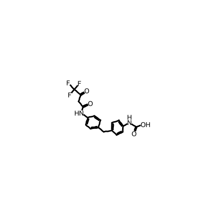 O=C(O)Nc1ccc(Cc2ccc(NC(=O)CC(=O)C(F)(F)F)cc2)cc1